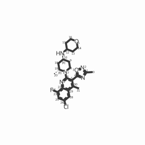 Cc1noc(-c2c(N3CC[C@@H](NC4CCOCC4)C[C@H]3C)nc3c(F)cc(Cl)cc3c2C)n1